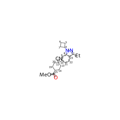 CCc1nn(C2CCC2)c2cc([C@]3(C#N)CC[C@@H](C(=O)OC)CC3)ccc12